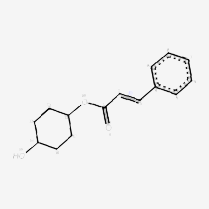 O=C(/C=C/c1ccccc1)OC1CCC(O)CC1